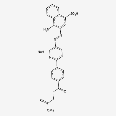 COC(=O)CCC(=O)c1ccc(-c2ccc(N=Nc3cc(S(=O)(=O)O)c4ccccc4c3N)cn2)cc1.[NaH]